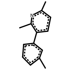 Cc1cccc(-c2ccc(C)nc2C)c1